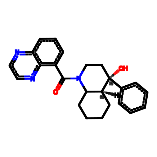 O=C(c1cccc2nccnc12)N1CC[C@@](O)(c2ccccc2)[C@H]2CCCCC21